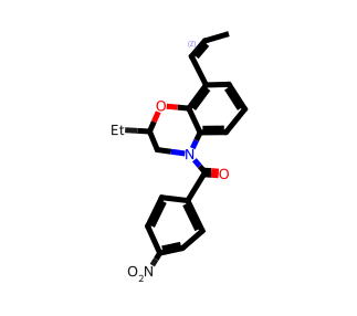 C/C=C\c1cccc2c1OC(CC)CN2C(=O)c1ccc([N+](=O)[O-])cc1